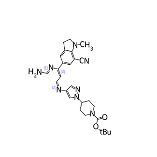 CN1CCc2cc(C(=C/C=N\c3cnn(C4CCN(C(=O)OC(C)(C)C)CC4)c3)/N=C/N)cc(C#N)c21